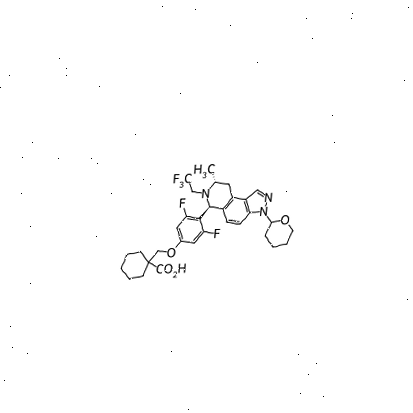 C[C@@H]1Cc2c(ccc3c2cnn3C2CCCCO2)[C@@H](c2c(F)cc(OCC3(C(=O)O)CCCCC3)cc2F)N1CC(F)(F)F